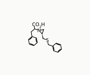 O=C(O)C(Cc1ccccc1)N1C[C@H]1CSCc1ccccc1